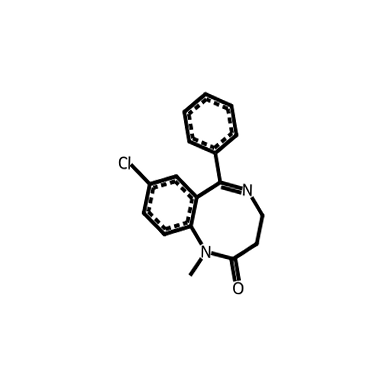 CN1C(=O)CCN=C(c2ccccc2)c2cc(Cl)ccc21